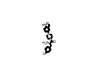 N[C@@H](Cc1ccc(Cl)cc1)C(=O)N1CCN(c2ccc3[nH]ncc3c2)CC1